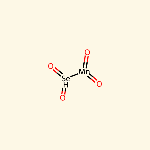 [O]=[Mn](=[O])[SeH](=O)=O